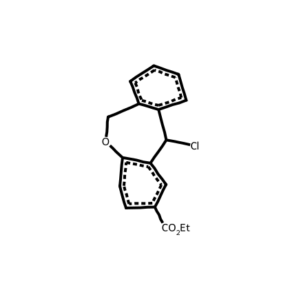 CCOC(=O)c1ccc2c(c1)C(Cl)c1ccccc1CO2